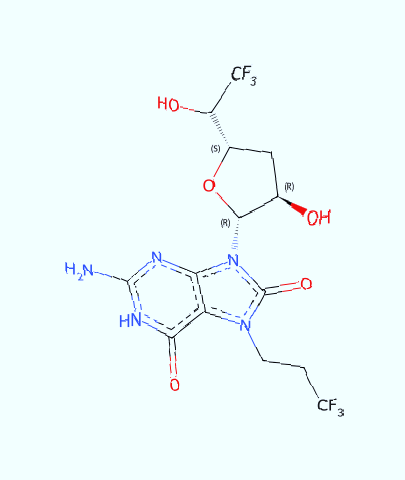 Nc1nc2c(c(=O)[nH]1)n(CCC(F)(F)F)c(=O)n2[C@@H]1O[C@H](C(O)C(F)(F)F)C[C@H]1O